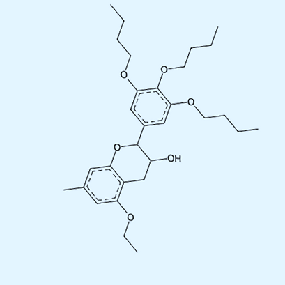 CCCCOc1cc(C2Oc3cc(C)cc(OCC)c3CC2O)cc(OCCCC)c1OCCCC